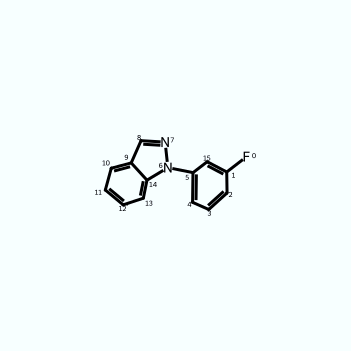 Fc1cccc(-n2ncc3cc[c]cc32)c1